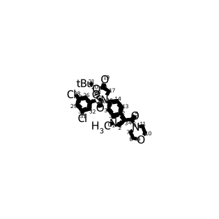 Cn1cc(C(=O)N2CCOCC2)c2ccc(N(CC(=O)OC(C)(C)C)S(=O)(=O)c3cc(Cl)cc(Cl)c3)cc21